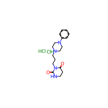 Cl.Cl.O=C1CCNC(=O)N1CCCN1CCN(c2ccccc2)CC1